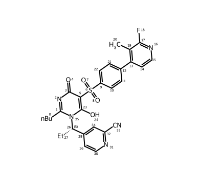 CCCCc1nc(=O)c(S(=O)(=O)c2ccc(-c3ccnc(F)c3C)cc2)c(O)n1[C@@H](CC)c1ccnc(C#N)c1